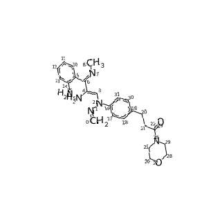 C=NN(/C=C(N)/C(=N/C)c1ccccc1N)c1ccc(CCC(=O)N2CCOCC2)cc1